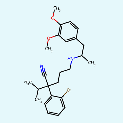 COc1ccc(CC(C)NCCCC(C#N)(c2ccccc2Br)C(C)C)cc1OC